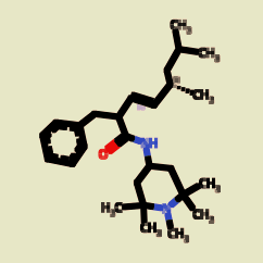 CC(C)C[C@H](C)/C=C/C(Cc1ccccc1)C(=O)NC1CC(C)(C)N(C)C(C)(C)C1